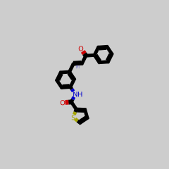 O=C(/C=C/c1cccc(NC(=O)c2cccs2)c1)c1ccccc1